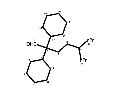 CCCC(CCC)CCC(C=O)(C1CCCCC1)C1CCCCC1